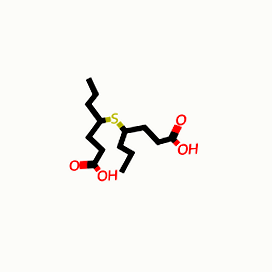 CCCC(CCC(=O)O)SC(CCC)CCC(=O)O